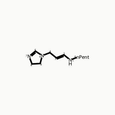 CCCCCNC=CCN1C=NCC1